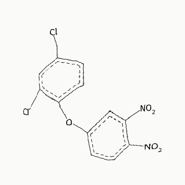 O=[N+]([O-])c1ccc(Oc2ccc(Cl)cc2Cl)cc1[N+](=O)[O-]